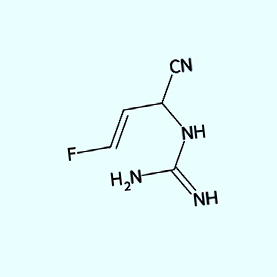 N#CC(C=CF)NC(=N)N